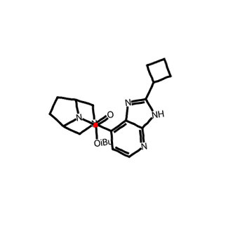 CC(C)COC(=O)N1C2CCC1CN(c1ccnc3[nH]c(C4CCC4)nc13)C2